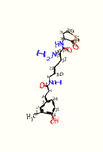 Cc1cc(CCC(=O)NCCCC[C@H](N)C(=O)N[C@H]2CCSC2=O)ccc1O